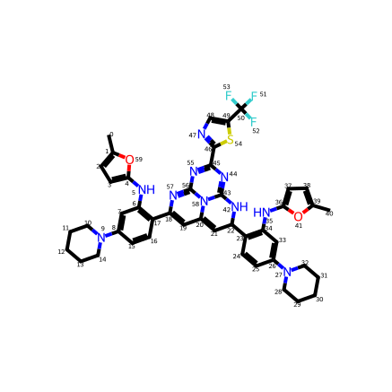 Cc1ccc(Nc2cc(N3CCCCC3)ccc2C2=CC3=CC(c4ccc(N5CCCCC5)cc4Nc4ccc(C)o4)NC4=NC(c5ncc(C(F)(F)F)s5)=NC(=N2)N34)o1